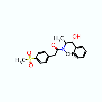 CC([C@H](O)c1ccccc1)N(C)C(=O)Cc1ccc(S(C)(=O)=O)cc1